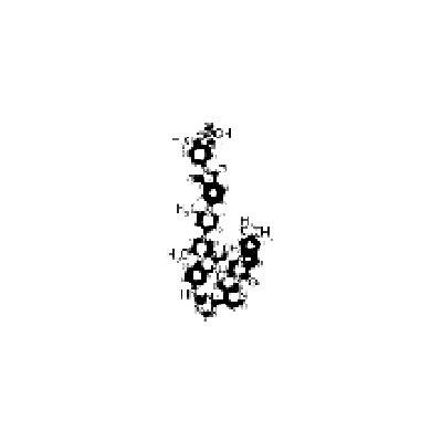 C=CC(=O)Nc1cc(Nc2ncnc(-c3ccnc(N4CCn5c(cc6c5CC(C)(C)C6)C4=O)c3CO)n2)ccc1N1CCN(C2CCN(c3ccc4c(c3)C(=O)N(C3CCC(C)(OP(=O)(O)O)CC3)C4=O)[C@@H](C)C2)C[C@@H]1C